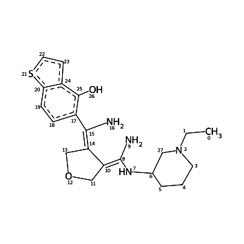 CCN1CCCC(N/C(N)=C2\COC\C2=C(\N)c2ccc3sccc3c2O)C1